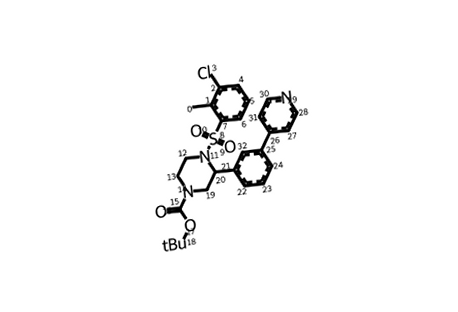 Cc1c(Cl)cccc1S(=O)(=O)N1CCN(C(=O)OC(C)(C)C)CC1c1cccc(-c2ccncc2)c1